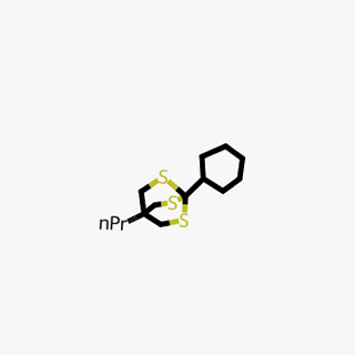 CCCC12CSC(C3CCCCC3)(SC1)SC2